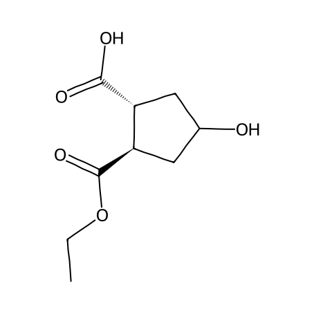 CCOC(=O)[C@@H]1CC(O)C[C@H]1C(=O)O